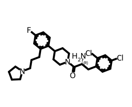 N[C@H](Cc1ccc(Cl)cc1Cl)C(=O)N1CCC(c2ccc(F)cc2CCCN2CCCC2)CC1